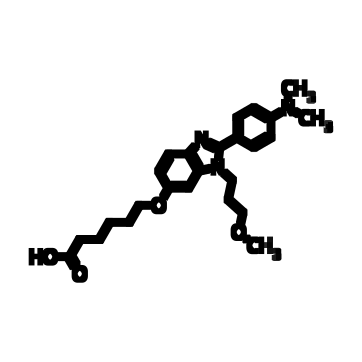 COCCCn1c(-c2ccc(N(C)C)cc2)nc2ccc(OCCCCCC(=O)O)cc21